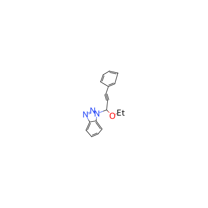 CCOC(C#Cc1ccccc1)n1nnc2ccccc21